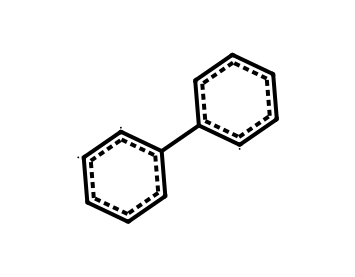 [c]1[c]c(-c2[c]cccc2)ccc1